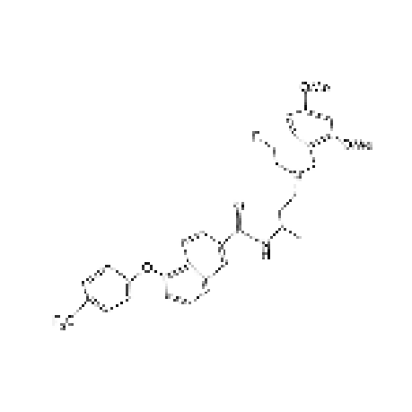 COc1ccc(CN(CCF)CCC(C)NC(=O)c2ccc3c(Oc4ccc(C(F)(F)F)cc4)cccc3c2)c(OC)c1